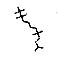 CC(C)OCC(C)(C)CCCCC(F)(F)C(C)(C)C